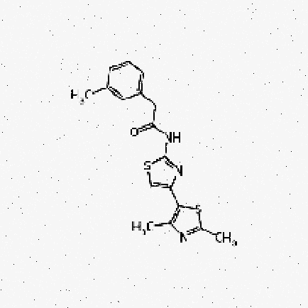 Cc1cccc(CC(=O)Nc2nc(-c3sc(C)nc3C)cs2)c1